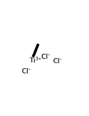 [CH3][Ti+3].[Cl-].[Cl-].[Cl-]